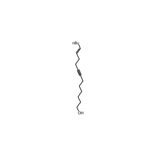 CCCC/C=C/CCC#CCCCCCCO